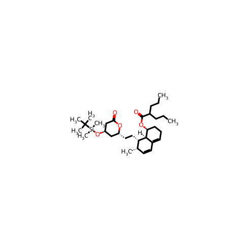 CCCC(CCC)C(=O)O[C@H]1CCC=C2C=C[C@H](C)[C@H](CC[C@@H]3C[C@@H](O[Si](C)(C)C(C)(C)C)CC(=O)O3)[C@H]21